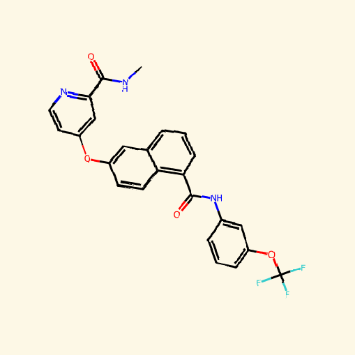 CNC(=O)c1cc(Oc2ccc3c(C(=O)Nc4cccc(OC(F)(F)F)c4)cccc3c2)ccn1